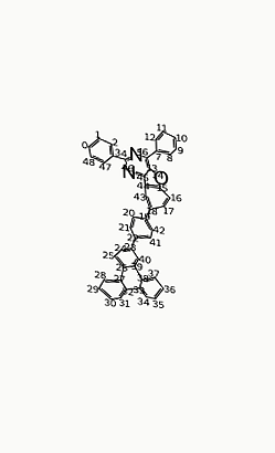 c1ccc(-c2nc(-c3ccccc3)c3oc4ccc(-c5ccc(-c6ccc7c8ccccc8c8ccccc8c7c6)cc5)cc4c3n2)cc1